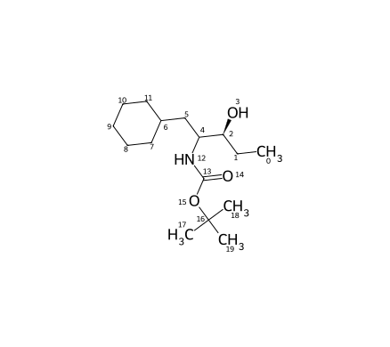 CC[C@H](O)C(CC1CCCCC1)NC(=O)OC(C)(C)C